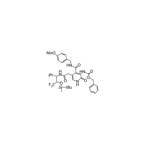 COc1ccc(CNC(=O)c2c(CC(=O)NC(C(C)C)C(O[Si](C)(C)C(C)(C)C)C(F)(F)F)c[nH]c(=O)c2NC(=O)OCc2ccccc2)cc1